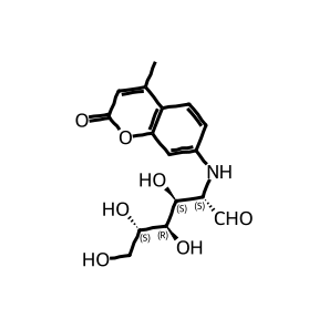 Cc1cc(=O)oc2cc(N[C@H](C=O)[C@H](O)[C@@H](O)[C@@H](O)CO)ccc12